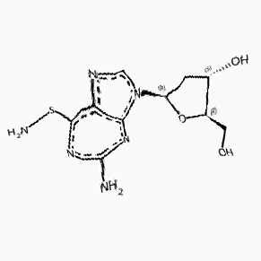 NSc1nc(N)nc2c1ncn2[C@H]1C[C@H](O)[C@@H](CO)O1